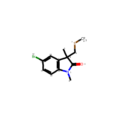 CN1C(=O)C(C)(CSC(F)(F)F)c2cc(Br)ccc21